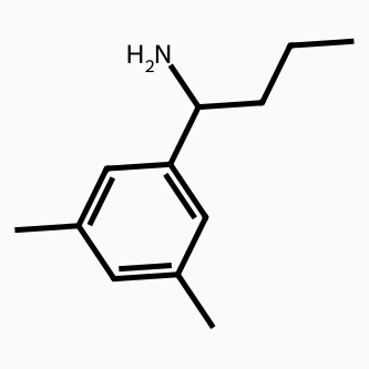 CCCC(N)c1cc(C)cc(C)c1